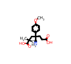 COc1ccc(C(C#N)(CCC(=O)O)CC(C)(C)C(=O)O)cc1